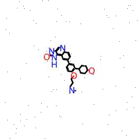 COC1CCC(c2cc(-c3ccc4ncc5c([nH]c(=O)n5C)c4c3)ccc2OCCCN(C)C)CC1